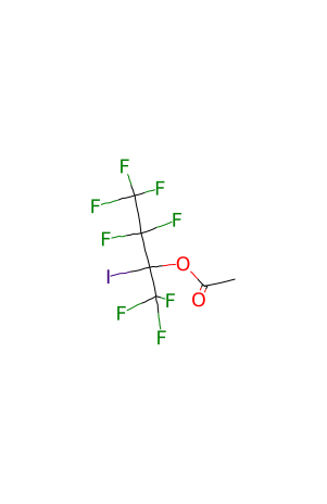 CC(=O)OC(I)(C(F)(F)F)C(F)(F)C(F)(F)F